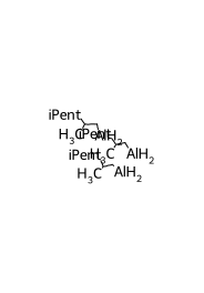 CCCC(C)C(C)[CH2][AlH2].CCCC(C)C(C)[CH2][AlH2].CCCC(C)C(C)[CH2][AlH2]